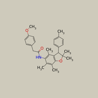 COc1ccc(CC(=O)Nc2c(C)c(C)c3c(c2C)C(c2ccc(C)cc2)C(C)(C)O3)cc1